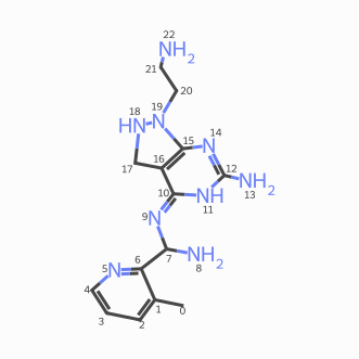 Cc1cccnc1C(N)/N=c1\[nH]c(N)nc2c1CNN2CCN